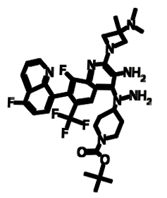 CN(C)C1(C)CN(c2nc3c(F)c(-c4ccc(F)c5cccnc45)c(C(F)(F)F)cc3c(N(N)C3CCN(C(=O)OC(C)(C)C)CC3)c2N)C1